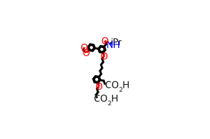 CC(C)NC(=O)c1cc(OCCCCCCc2cccc(OCCCC(=O)O)c2CCC(=O)O)cc(-c2ccc3c(c2)OCO3)c1